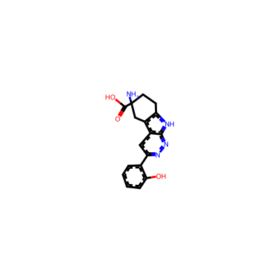 NC1(C(=O)O)CCc2[nH]c3nnc(-c4ccccc4O)cc3c2C1